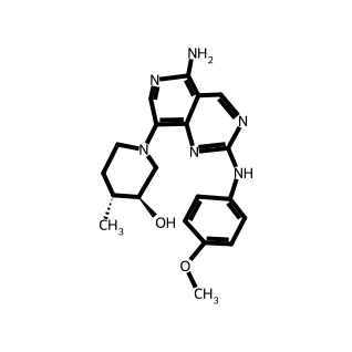 COc1ccc(Nc2ncc3c(N)ncc(N4CC[C@@H](C)[C@H](O)C4)c3n2)cc1